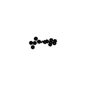 C(=C\c1ccc2cc(-c3c4ccccc4c(-c4cccc5ccccc45)c4ccccc34)ccc2c1)/c1ccc(N(c2ccccc2)c2ccc3c(c2)c2ccccc2n3-c2ccccc2)cc1